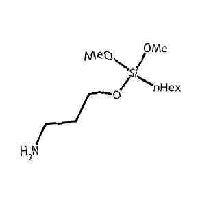 CCCCCC[Si](OC)(OC)OCCCN